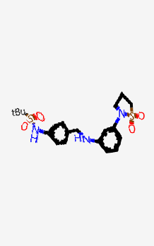 CC(C)(C)S(=O)(=O)Nc1ccc(CNc2cccc(N3CCCS3(=O)=O)c2)cc1